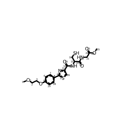 COCCOc1ccc(-c2nc(C(=O)NC(CS)C(=O)NCC(=O)OC)cs2)cc1